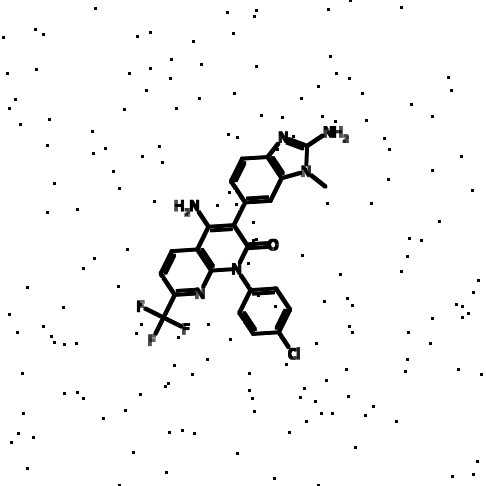 Cn1c(N)nc2ccc(-c3c(N)c4ccc(C(F)(F)F)nc4n(-c4ccc(Cl)cc4)c3=O)cc21